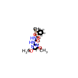 COc1cc(OC)nc(NC(=O)NS(=O)(=O)c2ccccc2SC)n1